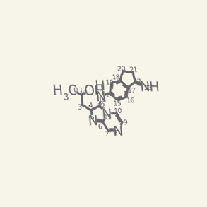 CC(O)CC1N=C2C=NC=CN2C1Nc1ccc2c(c1)CCC2=N